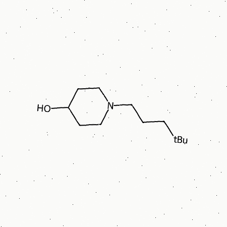 CC(C)(C)CCCN1CCC(O)CC1